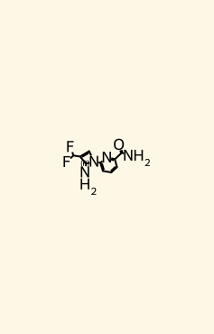 NC(=O)c1cccc(N2C=C(C(F)F)[C@@H]2N)n1